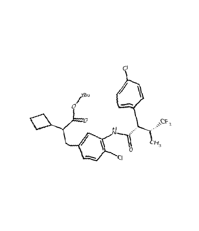 C[C@H]([C@H](C(=O)Nc1cc(CC(C(=O)OC(C)(C)C)C2CCC2)ccc1Cl)c1ccc(Cl)cc1)C(F)(F)F